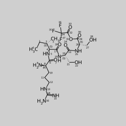 CC[C@H](C)[C@H](NC(=O)[C@H](N)CCCNC(=N)N)C(=O)N[C@@H](CO)C(=O)N[C@@H](CO)C(=O)OC(=O)C(F)(F)F